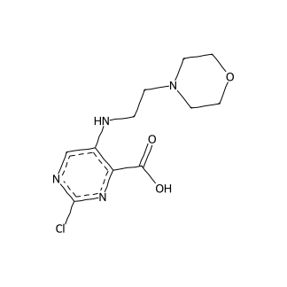 O=C(O)c1nc(Cl)ncc1NCCN1CCOCC1